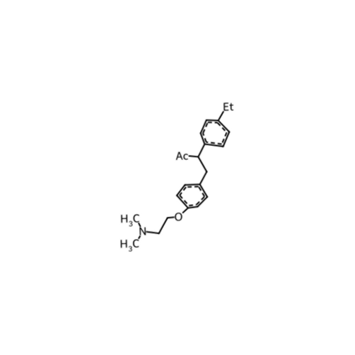 CCc1ccc(C(Cc2ccc(OCCN(C)C)cc2)C(C)=O)cc1